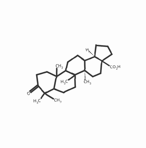 CC1(C)C(=O)CCC2(C)C1CCC1(C)C2CCC2[C@H]3CCCC3(C(=O)O)CC[C@]21C